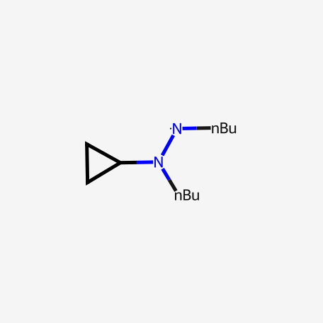 CCCC[N]N(CCCC)C1CC1